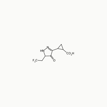 O=C1C(C2CC2C(=O)O)=NNC1CC(F)(F)F